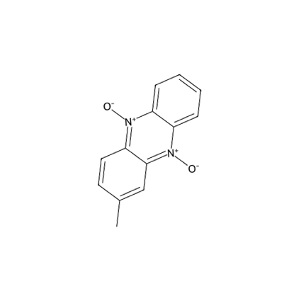 Cc1ccc2c(c1)[n+]([O-])c1ccccc1[n+]2[O-]